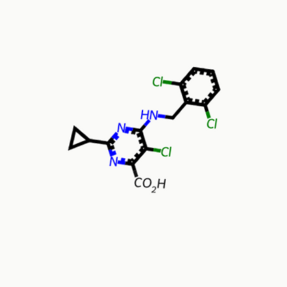 O=C(O)c1nc(C2CC2)nc(NCc2c(Cl)cccc2Cl)c1Cl